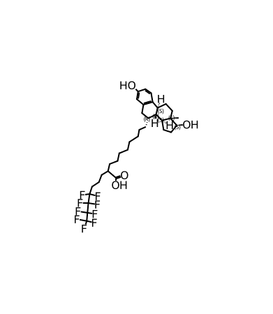 C[C@]12CC[C@@H]3c4ccc(O)cc4C[C@@H](CCCCCCCCC(CCCC(F)(F)C(F)(F)C(F)(F)C(F)(F)F)C(=O)O)[C@H]3[C@@H]1CC[C@@H]2O